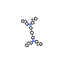 CC1(C)c2ccccc2-c2ccc(N(c3ccc(-c4ccc(-c5ccc(N(c6ccc7c(c6)C(C)(C)c6ccccc6-7)c6ccc7c(c6)C(C)(C)c6ccccc6-7)cc5)cc4)cc3)c3ccc4c(c3)C(C)(C)c3ccccc3-4)cc21